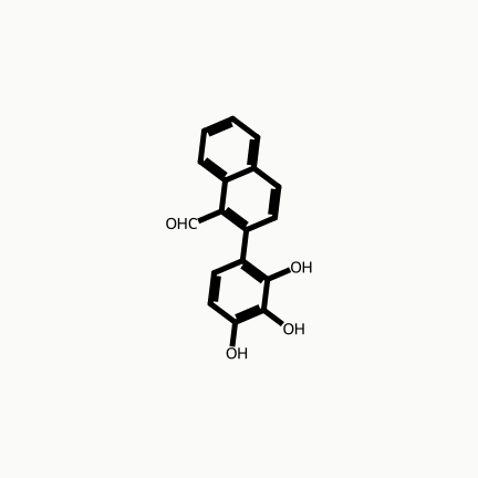 O=Cc1c(-c2ccc(O)c(O)c2O)ccc2ccccc12